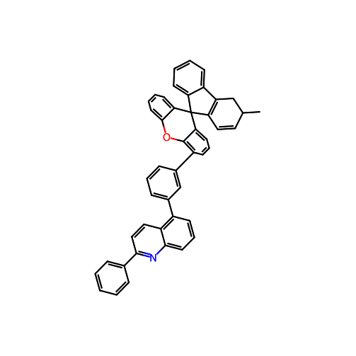 CC1C=CC2=C(C1)c1ccccc1C21c2ccccc2Oc2c(-c3cccc(-c4cccc5nc(-c6ccccc6)ccc45)c3)cccc21